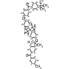 Cc1ccc(C(=O)c2ccc(C(C)(C)Oc3ccc(C(c4ccc(Oc5ccc(C(=O)c6ccc(C(C)(C)C)cc6)cc5)cc4)(C(F)(F)F)C(F)(F)F)cc3)cc2)cc1